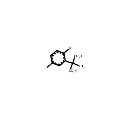 CC(C(=O)O)(C(=O)O)c1cc(F)ccc1Br